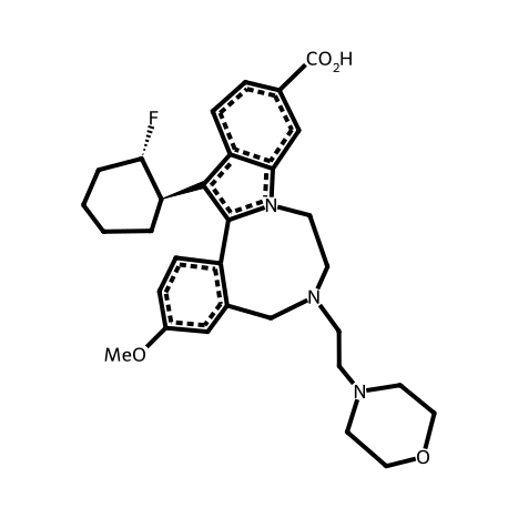 COc1ccc2c(c1)CN(CCN1CCOCC1)CCn1c-2c([C@H]2CCCC[C@@H]2F)c2ccc(C(=O)O)cc21